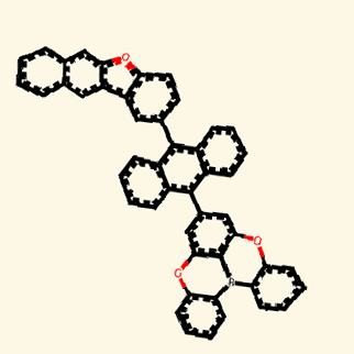 c1ccc2c(c1)Oc1cc(-c3c4ccccc4c(-c4ccc5oc6cc7ccccc7cc6c5c4)c4ccccc34)cc3c1B2c1ccccc1O3